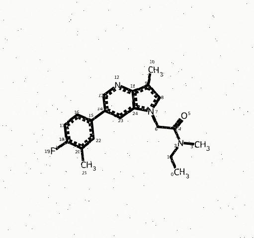 CCN(C)C(=O)Cn1cc(C)c2ncc(-c3ccc(F)c(C)c3)cc21